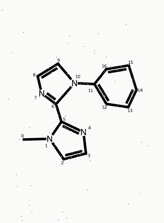 Cn1ccnc1-c1nccn1-c1ccccc1